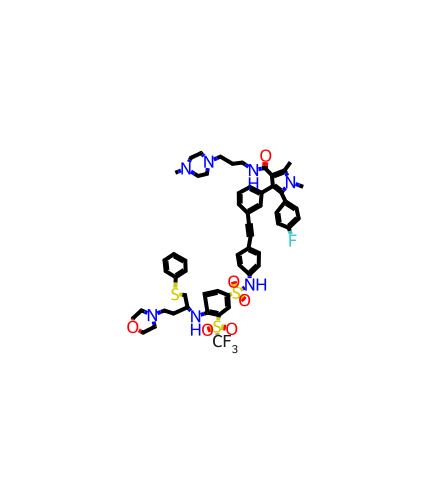 Cc1c(C(=O)NCCCN2CCN(C)CC2)c(-c2cccc(C#Cc3ccc(NS(=O)(=O)c4ccc(NC(CCN5CCOCC5)CSc5ccccc5)c(S(=O)(=O)C(F)(F)F)c4)cc3)c2)c(-c2ccc(F)cc2)n1C